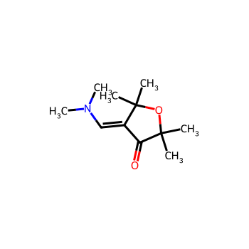 CN(C)C=C1C(=O)C(C)(C)OC1(C)C